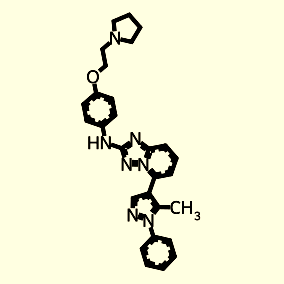 Cc1c(-c2cccc3nc(Nc4ccc(OCCN5CCCC5)cc4)nn23)cnn1-c1ccccc1